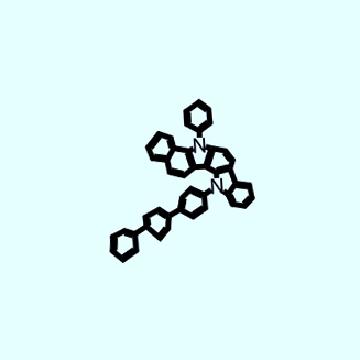 c1ccc(-c2ccc(-c3ccc(-n4c5ccccc5c5ccc6c(c7ccc8ccccc8c7n6-c6ccccc6)c54)cc3)cc2)cc1